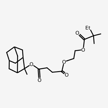 CCC(C)(C)C(=O)OCCOC(=O)CCC(=O)OC1(C)C2CC3CC(C2)CC1C3